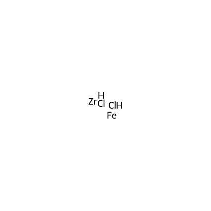 Cl.Cl.[Fe].[Zr]